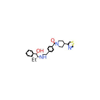 CC[C@@H](NCCc1ccc(C(=O)N2CCC(c3cscn3)CC2)cc1)[C@H](O)c1ccccc1